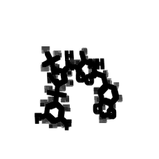 CC(NC(=O)Cc1ccc2c(c1)OCO2)C(=O)Nc1cc(C(C)(C)c2cc(F)cc(F)c2)nn1C(C)(C)C